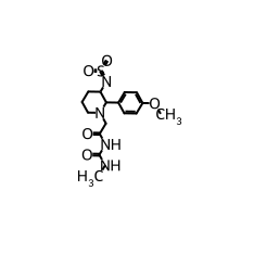 CNC(=O)NC(=O)CN1CCCC(N=S(=O)=O)C1c1ccc(OC)cc1